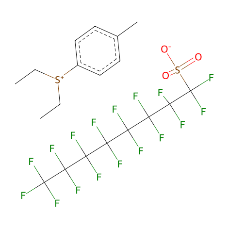 CC[S+](CC)c1ccc(C)cc1.O=S(=O)([O-])C(F)(F)C(F)(F)C(F)(F)C(F)(F)C(F)(F)C(F)(F)C(F)(F)C(F)(F)F